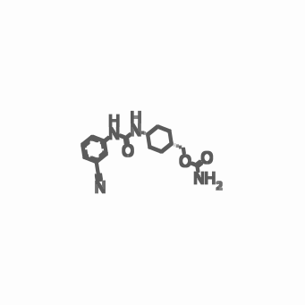 N#Cc1cccc(NC(=O)N[C@H]2CC[C@@H](COC(N)=O)CC2)c1